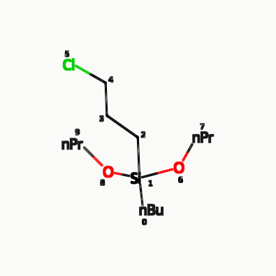 CCCC[Si](CCCCl)(OCCC)OCCC